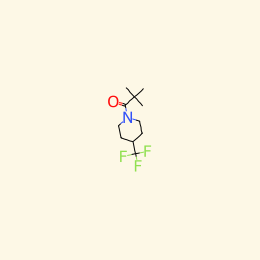 CC(C)(C)C(=O)N1CCC(C(F)(F)F)CC1